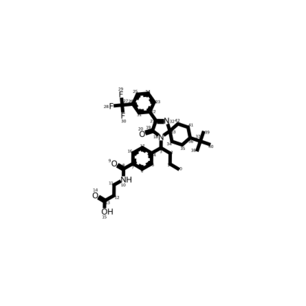 CCCC(c1ccc(C(=O)NCCC(=O)O)cc1)N1C(=O)C(c2cccc(C(F)(F)F)c2)=NC12CCC(C(C)(C)C)CC2